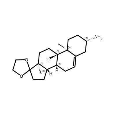 C[C@]12CC[C@H](N)CC1=CC[C@@H]1[C@@H]2CC[C@@]2(C)[C@H]1CCC21OCCO1